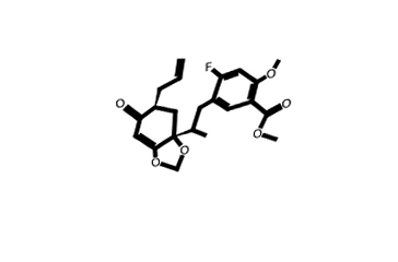 C=CC[C@H]1C[C@]2(C(C)Cc3cc(C(=O)OC)c(OC)cc3F)OCOC2=CC1=O